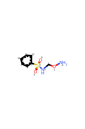 NOCNS(=O)(=O)c1ccccc1